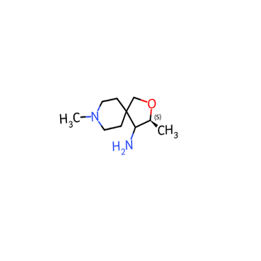 C[C@@H]1OCC2(CCN(C)CC2)C1N